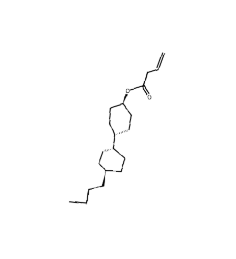 C=CCC(=O)O[C@H]1CC[C@H]([C@H]2CC[C@H](CCCC)CC2)CC1